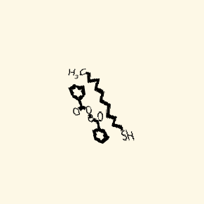 CCCCCCCCCCCCS.O=C(OOC(=O)c1ccccc1)c1ccccc1